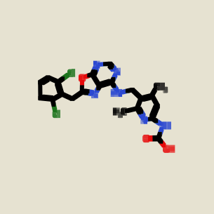 Cc1cc(NC(=O)O)nc(C)c1CNc1ncnc2oc(Cc3c(Cl)cccc3Cl)nc12